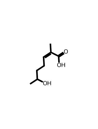 CC(=CCCC(C)O)C(=O)O